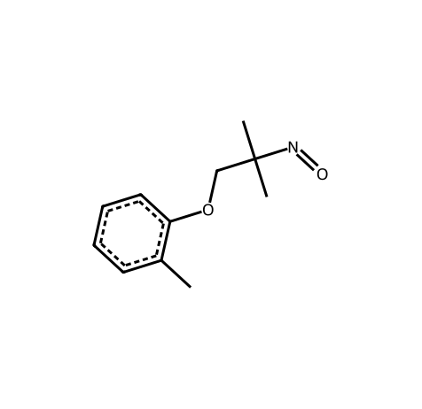 Cc1ccccc1OCC(C)(C)N=O